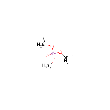 C[SiH2]OP(=O)(O[SiH2]C)O[SiH2]C